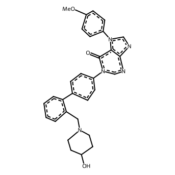 COc1ccc(-n2cnc3ncn(-c4ccc(-c5ccccc5CN5CCC(O)CC5)cc4)c(=O)c32)cc1